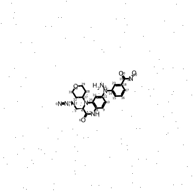 [N-]=[N+]=NC[C@@H]1C(=O)Nc2ccc(N(N)c3cccc(C(=O)N=O)c3)cc2N1C1CCOCC1